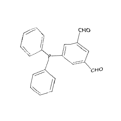 O=Cc1cc(C=O)cc(P(c2ccccc2)c2ccccc2)c1